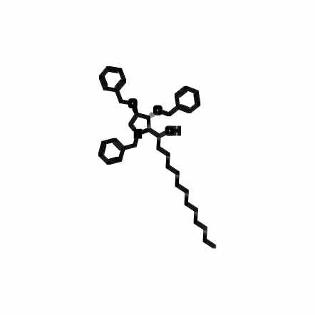 CCCCCCCCCCCCC(O)C1[C@@H](OCc2ccccc2)[C@H](OCc2ccccc2)CN1Cc1ccccc1